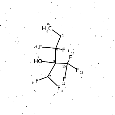 CCC(F)(F)C(O)(C(F)F)C(F)(F)F